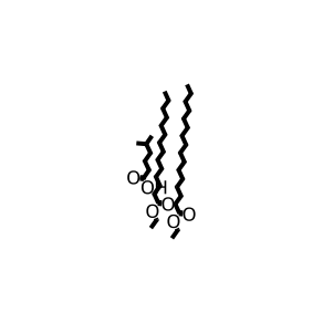 CC(C)CCCC(=O)O.CCCCCCCCCCCCCC(=O)OCC.CCCCCCCCCCCCCCCC(=O)OCC